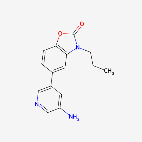 CCCn1c(=O)oc2ccc(-c3cncc(N)c3)cc21